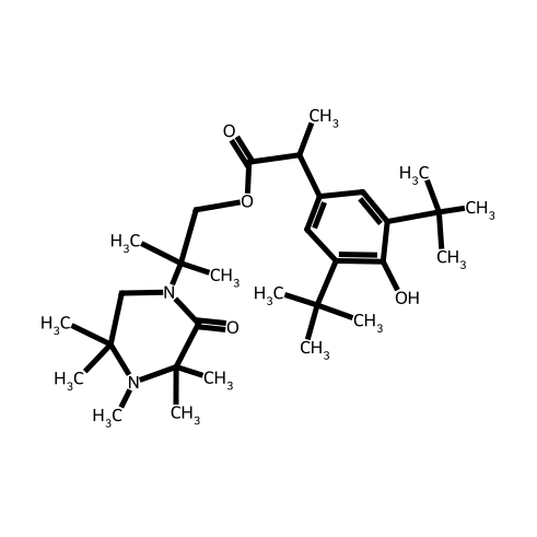 CC(C(=O)OCC(C)(C)N1CC(C)(C)N(C)C(C)(C)C1=O)c1cc(C(C)(C)C)c(O)c(C(C)(C)C)c1